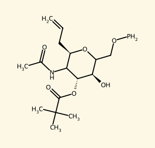 C=CC[C@H]1OC(COP)[C@@H](O)[C@H](OC(=O)C(C)(C)C)C1NC(C)=O